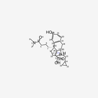 CN(C)C(=O)CCC[C@]12CCCN(CC3CC3)[C@H](Cc3ccc(O)cc31)/C2=C\C(=O)O